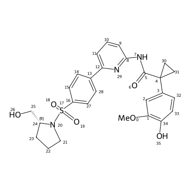 COc1cc(C2(C(=O)Nc3cccc(-c4ccc(S(=O)(=O)N5CCC[C@@H]5CO)cc4)n3)CC2)ccc1O